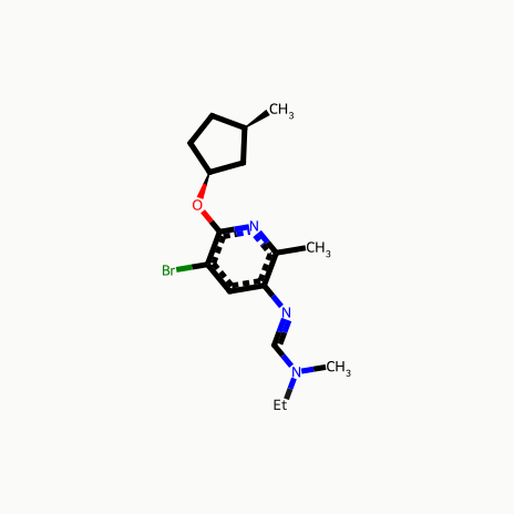 CCN(C)/C=N/c1cc(Br)c(O[C@H]2CC[C@@H](C)C2)nc1C